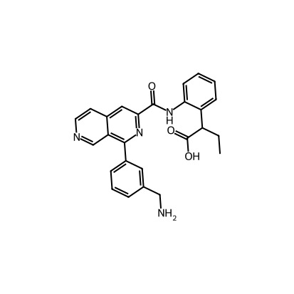 CCC(C(=O)O)c1ccccc1NC(=O)c1cc2ccncc2c(-c2cccc(CN)c2)n1